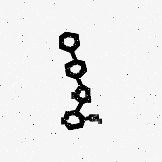 Cc1ccncc1-c1nc(-c2ccc(-c3ccccc3)cc2)cs1